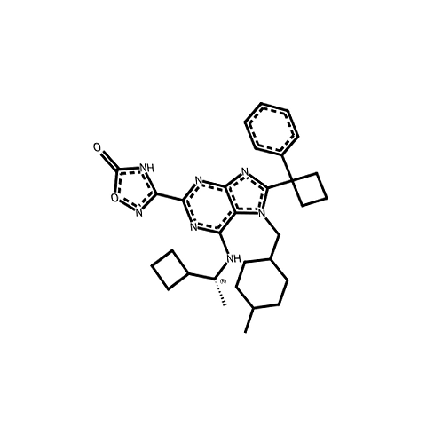 CC1CCC(Cn2c(C3(c4ccccc4)CCC3)nc3nc(-c4noc(=O)[nH]4)nc(N[C@H](C)C4CCC4)c32)CC1